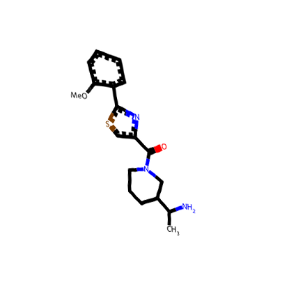 COc1ccccc1-c1nc(C(=O)N2CCCC(C(C)N)C2)cs1